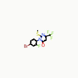 CSc1nc(C(F)(F)F)cc(=O)n1-c1ccc(Br)cc1F